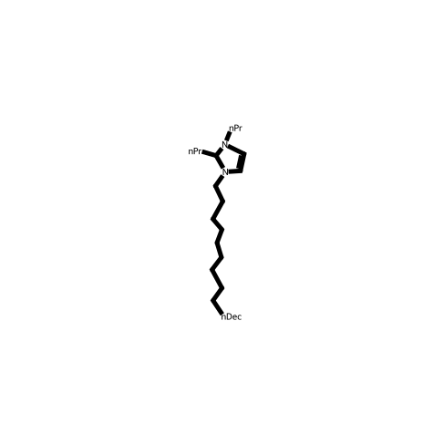 CCCCCCCCCCCCCCCCCCCN1C=CN(CCC)C1CCC